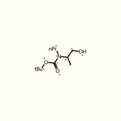 CCCN(C(=O)OC(C)(C)C)C(C)CO